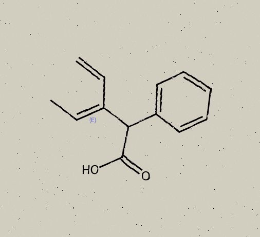 C=C/C(=C\C)C(C(=O)O)c1ccccc1